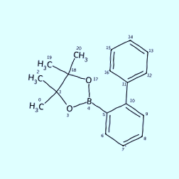 CC1(C)OB(c2c[c]ccc2-c2ccccc2)OC1(C)C